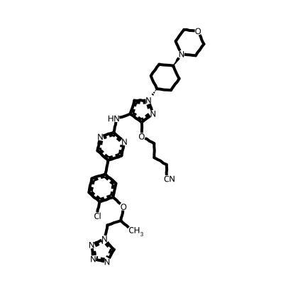 CC(Cn1cnnn1)Oc1cc(-c2cnc(Nc3cn([C@H]4CC[C@H](N5CCOCC5)CC4)nc3OCCCC#N)nc2)ccc1Cl